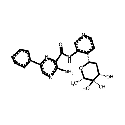 C[C@@H]1O[C@H](c2ccncc2NC(=O)c2nc(-c3ccccc3)cnc2N)C[C@H](O)[C@@]1(C)O